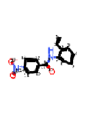 C=Cc1ccccc1NC(=O)c1ccc([N+](=O)[O-])cc1